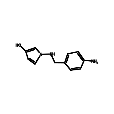 Nc1ccc(CNn2ccc(O)c2)cc1